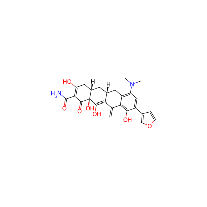 C=C1C2=C(O)[C@]3(O)C(=O)C(C(N)=O)=C(O)C[C@@H]3C[C@@H]2Cc2c(N(C)C)cc(-c3ccoc3)c(O)c21